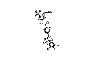 Cc1cc(C2=NOC(c3cc(Cl)c(F)c(Cl)c3)(C(F)(F)F)C2)ccc1C(=O)Nc1nc(C(F)(F)F)n(CC#N)n1